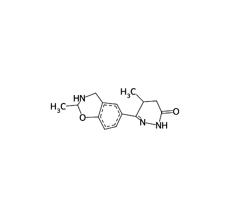 CC1NCc2cc(C3=NNC(=O)CC3C)ccc2O1